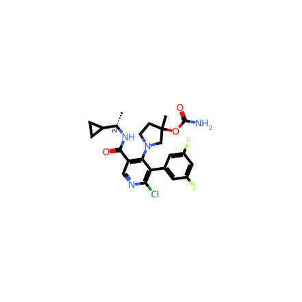 C[C@H](NC(=O)c1cnc(Cl)c(-c2cc(F)cc(F)c2)c1N1CCC(C)(OC(N)=O)C1)C1CC1